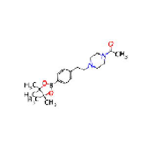 CC(=O)N1CCN(CCc2ccc(B3OC(C)(C)C(C)(C)O3)cc2)CC1